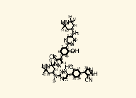 CN(c1cnc(-c2ccc(-c3cnn(C4(C)CC(N(C)c5ncc(-c6ccc(-c7cn[nH]c7C#N)cc6O)nn5)CC(C)(C)N4)c3Cl)cc2O)nn1)C1CC(C)(C)NC(C)(C)C1